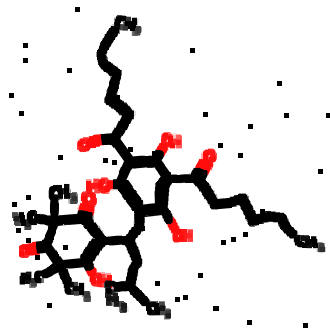 CCCCCC(=O)c1c(O)c(C(=O)CCCCC)c(O)c(C(CC(C)C)C2=C(O)C(C)(C)C(=O)C(C)(C)C2=O)c1O